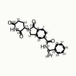 CC(C)[C@@H](NC(=O)c1ccc2c(c1)CN(C1CCC(=O)NC1=O)C2=O)c1ccccc1